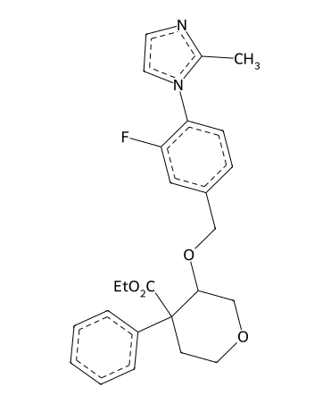 CCOC(=O)C1(c2ccccc2)CCOCC1OCc1ccc(-n2ccnc2C)c(F)c1